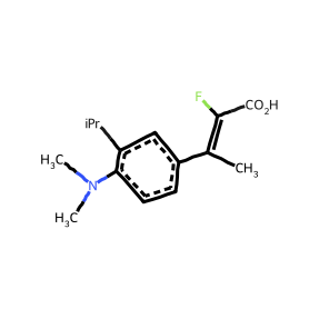 CC(=C(F)C(=O)O)c1ccc(N(C)C)c(C(C)C)c1